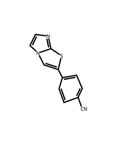 N#Cc1ccc(-c2cn3ccnc3s2)cc1